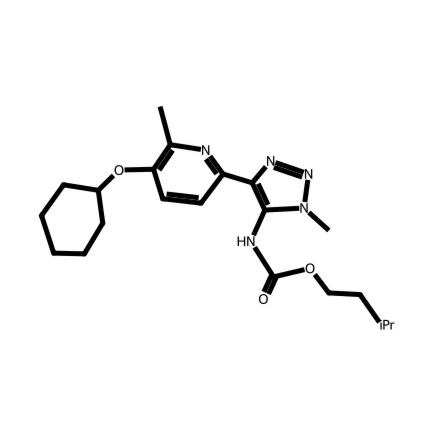 Cc1nc(-c2nnn(C)c2NC(=O)OCCC(C)C)ccc1OC1CCCCC1